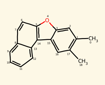 Cc1cc2oc3ccc4ccccc4c3c2cc1C